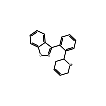 C1=CCC(c2ccccc2-c2noc3ccccc23)NC1